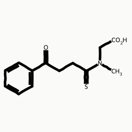 CN(CC(=O)O)C(=S)CCC(=O)c1ccccc1